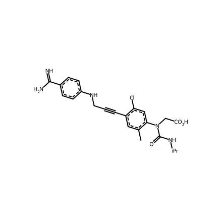 Cc1cc(C#CCNc2ccc(C(=N)N)cc2)c(Cl)cc1N(CC(=O)O)C(=O)NC(C)C